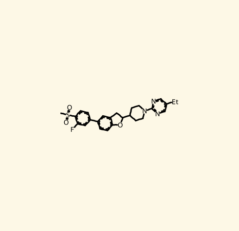 CCc1cnc(N2CCC(C3Cc4cc(-c5ccc(S(C)(=O)=O)c(F)c5)ccc4O3)CC2)nc1